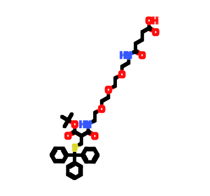 CC(C)(C)OC(=O)C(CSC(c1ccccc1)(c1ccccc1)c1ccccc1)C(=O)NCCOCCOCCOCCNC(=O)CCCC(=O)O